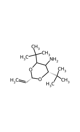 C=C[C@@H]1OC(C(C)(C)C)C(N)[C@H](C(C)(C)C)O1